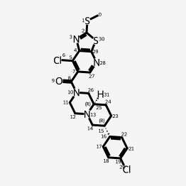 CSc1nc2c(Cl)c(C(=O)N3CCN4C[C@@H](c5ccc(Cl)cc5)CC[C@@H]4C3)cnc2s1